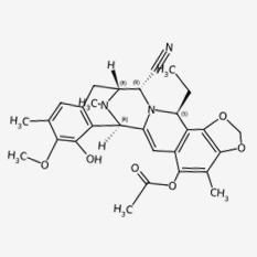 CC[C@H]1c2c(c(OC(C)=O)c(C)c3c2OCO3)C=C2[C@H]3c4c(cc(C)c(OC)c4O)C[C@H]([C@H](C#N)N21)N3C